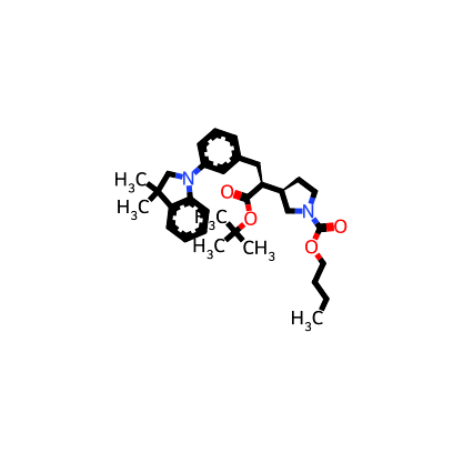 CCCCOC(=O)N1CC[C@H]([C@H](Cc2cccc(N3CC(C)(C)c4ccccc43)c2)C(=O)OC(C)(C)C)C1